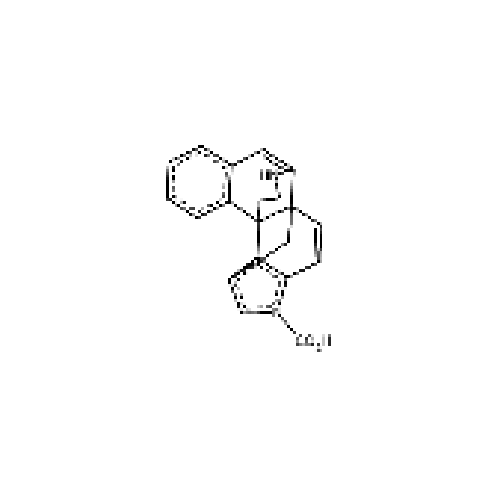 O=C(O)n1cc2c3c1C=CC1(C2)C2=Cc4ccccc4C31CCN2